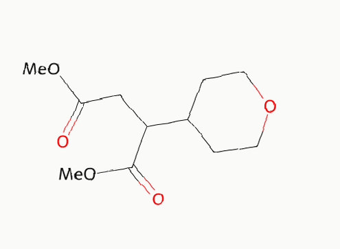 COC(=O)CC(C(=O)OC)C1CCOCC1